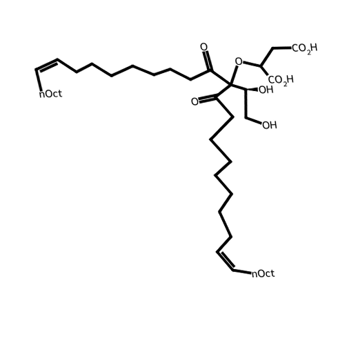 CCCCCCCC/C=C\CCCCCCCC(=O)C(OC(CC(=O)O)C(=O)O)(C(=O)CCCCCCC/C=C\CCCCCCCC)[C@@H](O)CO